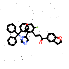 O=C(C=Cc1c(F)cccc1-c1cncn1C(c1ccccc1)(c1ccccc1)c1ccccc1)c1ccc2occc2c1